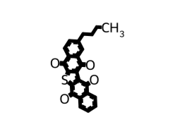 CCCCc1ccc2c(=O)c3sc4c(=O)c5ccccc5c(=O)c4c3c(=O)c2c1